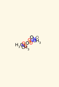 CN(c1ccccc1NS(=O)(=O)c1ccc(S(=O)(=O)N(C)C)cc1)C1CCCC1